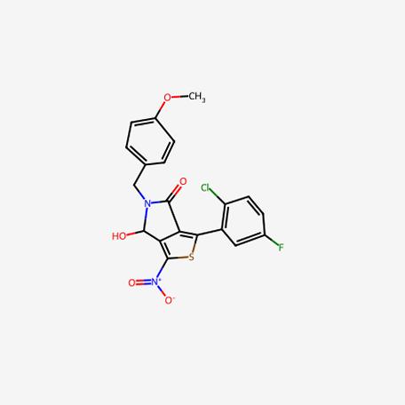 COc1ccc(CN2C(=O)c3c(-c4cc(F)ccc4Cl)sc([N+](=O)[O-])c3C2O)cc1